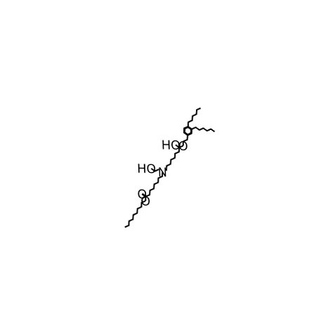 CCCCCCCCCOC(=O)CCCCCCCN(CCO)CCCCCCCC(O)OCCc1ccc(CCCCCC)c(CCCCCC)c1